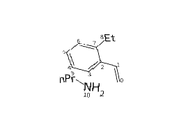 C=Cc1ccccc1CC.CCCN